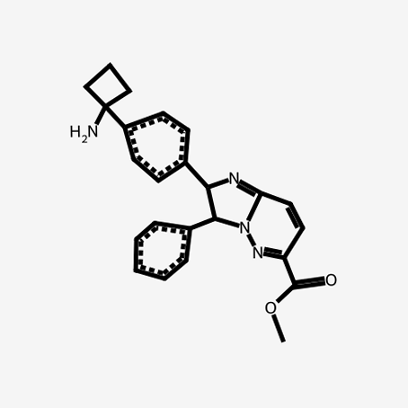 COC(=O)C1=NN2C(=NC(c3ccc(C4(N)CCC4)cc3)C2c2ccccc2)C=C1